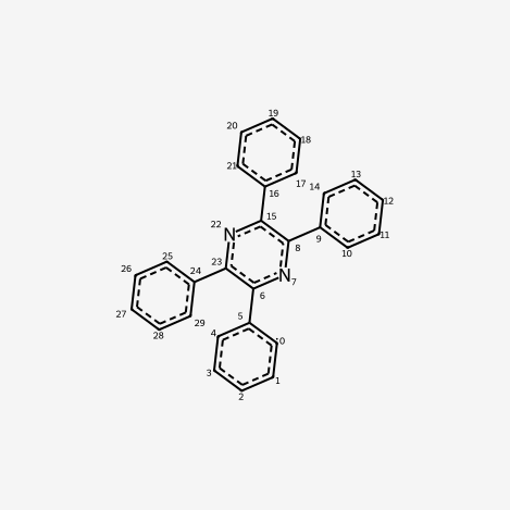 [c]1ccccc1-c1nc(-c2ccccc2)c(-c2ccccc2)nc1-c1ccccc1